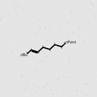 CCCC/C=C/CCCCCCCCC